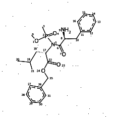 COP(C)(=O)N(C(=O)[C@@H](N)Cc1ccccc1)[C@@H](CC(C)C)C(=O)OCc1ccccc1